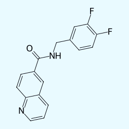 O=C(NCc1ccc(F)c(F)c1)c1ccc2ncccc2c1